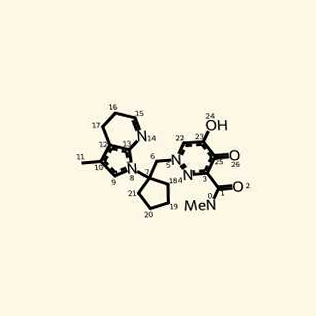 CNC(=O)c1nn(CC2(n3cc(C)c4c3N=CCC4)CCCC2)cc(O)c1=O